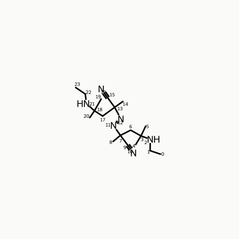 CCNC(C)(C)CC(C)(C#N)/N=N/C(C)(C#N)CC(C)(C)NCC